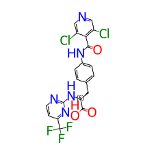 O=C(Nc1ccc(C[C@H](Nc2nccc(C(F)(F)F)n2)C(=O)O)cc1)c1c(Cl)cncc1Cl